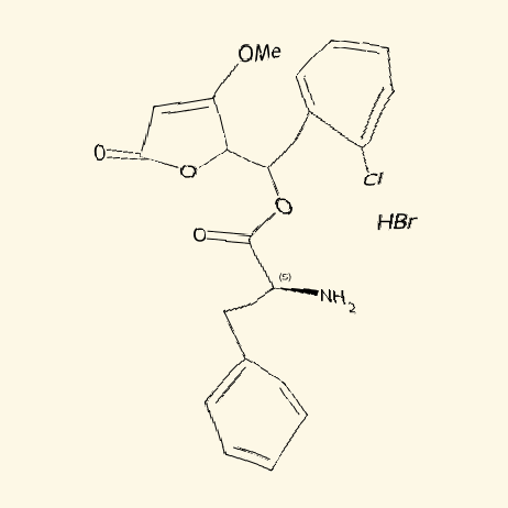 Br.COC1=CC(=O)OC1C(OC(=O)[C@@H](N)Cc1ccccc1)c1ccccc1Cl